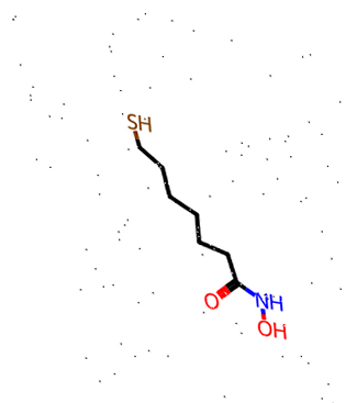 O=C(CCCCCCS)NO